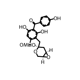 COc1cc(O)c(C(=O)c2ccc(O)cc2)c(O)c1C[C@@]1(O)C[C@H]2O[C@H]2CO1